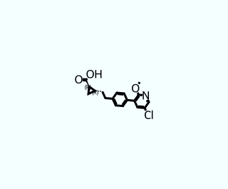 COc1ncc(Cl)cc1-c1ccc(CC[C@@H]2C[C@H]2C(=O)O)cc1